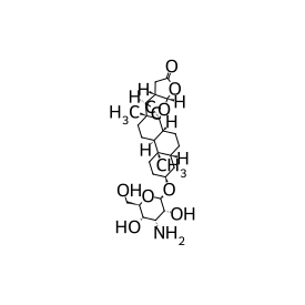 C[C@]12CC[C@H](O[C@@H]3O[C@H](CO)[C@@H](O)[C@@H](N)[C@H]3O)C[C@H]1CC[C@@H]1[C@@H]2CC[C@]2(C)[C@@H]3CC[C@]12O[C@H]1OC(=O)C[C@H]13